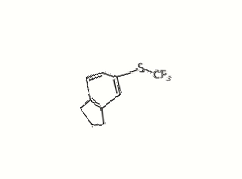 FC(F)(F)Sc1ccc2c(c1)C[CH]C2